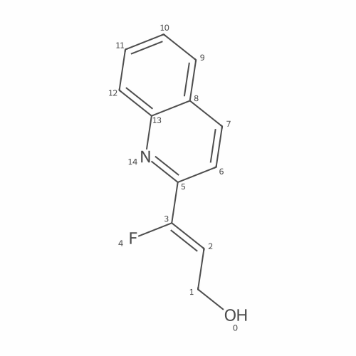 OC/C=C(\F)c1ccc2ccccc2n1